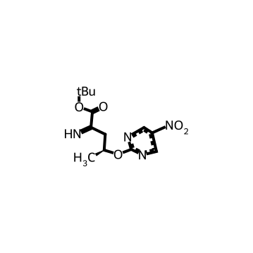 C[C@@H](CC(=N)C(=O)OC(C)(C)C)Oc1ncc([N+](=O)[O-])cn1